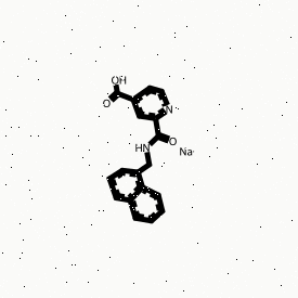 O=C(O)c1ccnc(C(=O)NCc2cccc3ccccc23)c1.[Na]